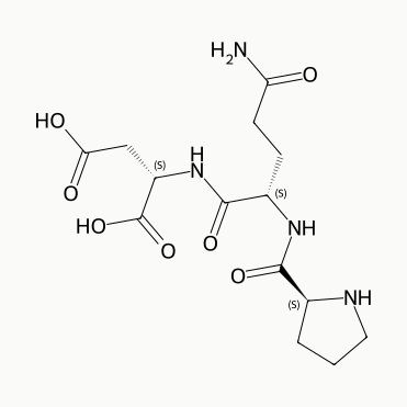 NC(=O)CC[C@H](NC(=O)[C@@H]1CCCN1)C(=O)N[C@@H](CC(=O)O)C(=O)O